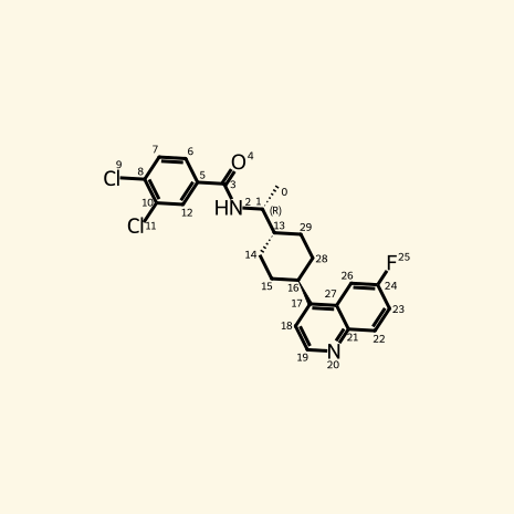 C[C@@H](NC(=O)c1ccc(Cl)c(Cl)c1)[C@H]1CC[C@H](c2ccnc3ccc(F)cc32)CC1